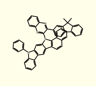 CC1(C)c2ccccc2-c2ccc(-c3nc4ccccc4nc3-n3c4cc5c(cc4c4ccc6ccccc6c43)c3ccccc3n5-c3ccccc3)cc21